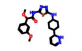 COc1cccc(C(OC)C(=O)Nc2nnc(NC3CCC(C4C=CC=NN4)CC3)s2)c1